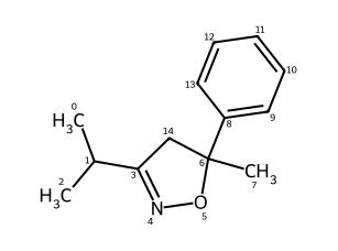 CC(C)C1=NOC(C)(c2ccccc2)C1